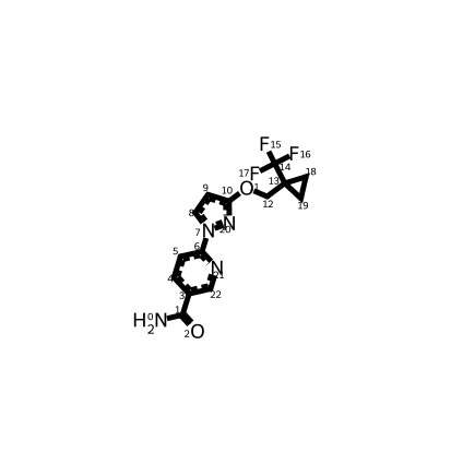 NC(=O)c1ccc(-n2ccc(OCC3(C(F)(F)F)CC3)n2)nc1